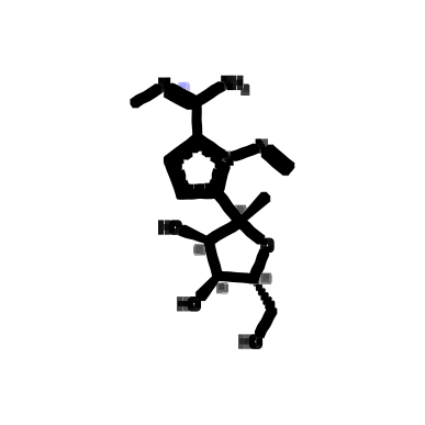 C=Nn1c(/C(N)=N\C)ccc1[C@]1(C)O[C@H](CO)[C@@H](O)[C@H]1O